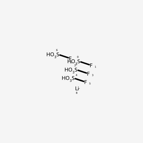 O=S(=O)(O)F.O=S(=O)(O)F.O=S(=O)(O)F.O=S(=O)(O)F.[Li]